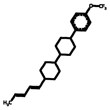 C/C=C/C=C/C1CCC(C2CCC(c3ccc(OC(F)(F)F)cc3)CC2)CC1